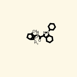 CC1(C)C2CCC1(C)C(NC(=O)c1nn(C3CCCCC3)c3c1CCCC3)C2